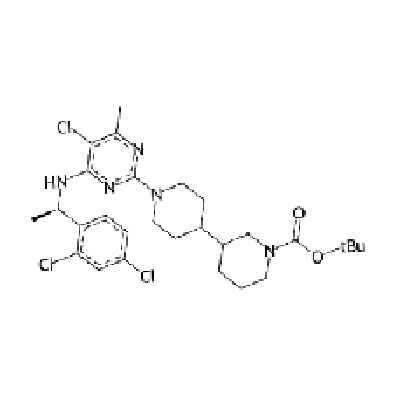 Cc1nc(N2CCC(C3CCCN(C(=O)OC(C)(C)C)C3)CC2)nc(N[C@H](C)c2ccc(Cl)cc2Cl)c1Cl